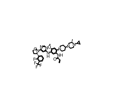 C=CC(=O)Nc1cc(Nc2cc(N3OCC[C@@H]3c3cccc(C(F)(F)F)c3F)ncn2)c(OC)cc1N1CCC(N2CCN(C3CC3)[C@H](C)C2)CC1